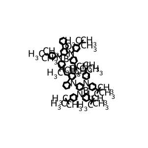 CC(C)(C)c1ccc(N2c3ccc(C(C)(C)C)cc3B3c4cc(C(C)(C)C)ccc4N(c4ccc(C(C)(C)C)cc4)c4cc(-n5c6ccccc6c6c(CC(C)(C)c7ccc8c(c7)B7c9cc(C(C)(C)C)ccc9N(c9ccc(C(C)(C)C)cc9)c9c7c(cc7c9oc9ccccc97)N8c7ccc(C(C)(C)C)cc7)cccc65)cc2c43)cc1